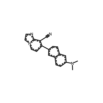 CN(C)c1ccc2cc(-c3ccn4ccnc4c3C#N)ccc2c1